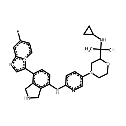 CC(C)(NC1CC1)C1CN(c2ccc(Nc3ccc(-c4cnc5cc(F)ccn45)c4c3CNC4)nc2)CCO1